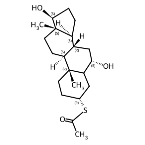 CC(=O)S[C@@H]1CC[C@@]2(C)C(C1)[C@@H](O)C[C@H]1[C@@H]3CC[C@H](O)[C@@]3(C)CC[C@@H]12